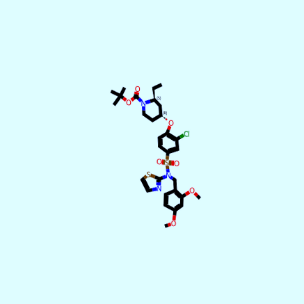 CC[C@H]1C[C@H](Oc2ccc(S(=O)(=O)N(Cc3ccc(OC)cc3OC)c3nccs3)cc2Cl)CCN1C(=O)OC(C)(C)C